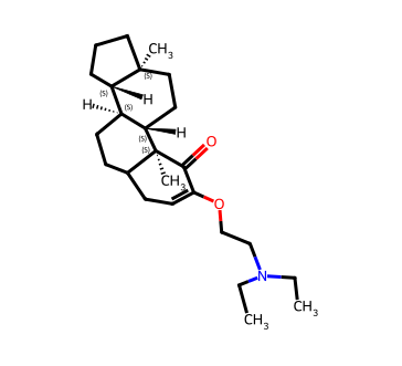 CCN(CC)CCOC1=CCC2CC[C@H]3[C@@H]4CCC[C@@]4(C)CC[C@@H]3[C@@]2(C)C1=O